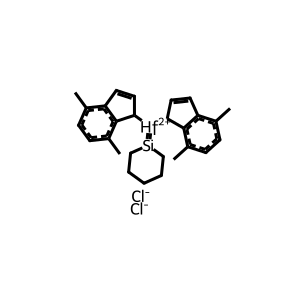 Cc1ccc(C)c2c1C=C[CH]2[Hf+2]([CH]1C=Cc2c(C)ccc(C)c21)=[Si]1CCCCC1.[Cl-].[Cl-]